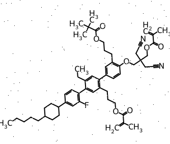 C=C(C)C(=O)OCCCc1cc(-c2ccc(C3CCC(CCCCC)CC3)cc2F)c(CC)cc1-c1ccc(OCC(CC#N)(CC#N)COC(=O)C(=C)C)c(CCCOC(=O)C(C)(C)C)c1